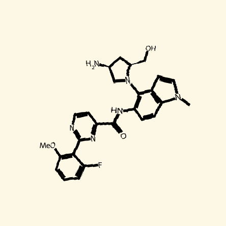 COc1cccc(F)c1-c1nccc(C(=O)Nc2ccc3c(ccn3C)c2N2C[C@@H](N)C[C@H]2CO)n1